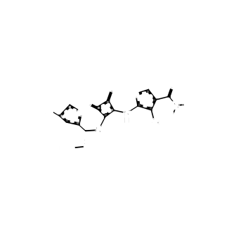 CC[C@@H](Nc1c(Nc2scc(C(=O)N(C)C)c2O)c(=O)c1=O)c1cc(C)co1